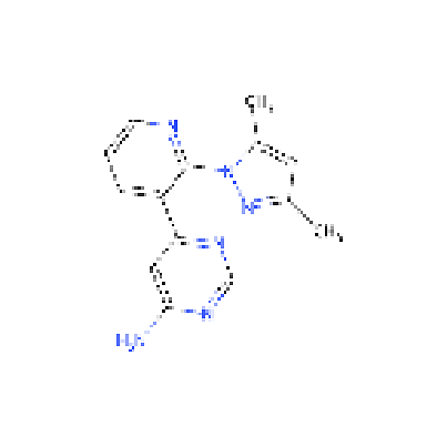 Cc1cc(C)n(-c2ncccc2-c2cc(N)ncn2)n1